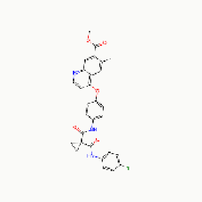 COC(=O)c1cc2nccc(Oc3ccc(NC(=O)C4(C(=O)Nc5ccc(F)cc5)CC4)cc3)c2cc1C